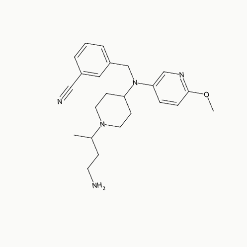 COc1ccc(N(Cc2cccc(C#N)c2)C2CCN(C(C)CCN)CC2)cn1